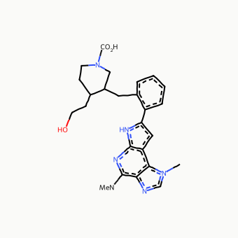 CNc1nc2[nH]c(-c3ccccc3CC3CN(C(=O)O)CCC3CCO)cc2c2c1ncn2C